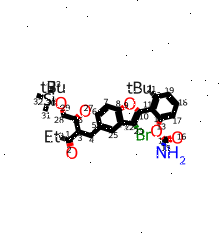 CCC(=O)C(Cc1ccc2oc(-c3c(OC(N)=O)cccc3C(C)(C)C)c(Br)c2c1)C(=O)CO[Si](C)(C)C(C)(C)C